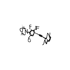 C[C@@H]1CN(c2c(C=O)cc(C#Cc3nccn3C)c(F)c2F)C[C@H](C)O1